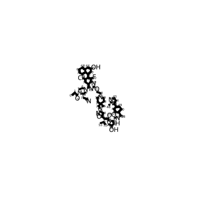 C=CC(=O)N1CCN(c2nc(OCCN3CCC4(CC3)CN(c3cc([C@H](C(=O)N5C[C@H](O)C[C@H]5C(=O)N[C@@H](C)c5ccc(-c6ccnn6C)cc5)C(C)C)on3)C4)nc3c(F)c(-c4cc(O)cc5ccccc45)c(Cl)cc23)C[C@@H]1CC#N